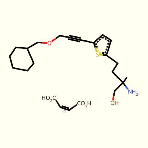 CC(N)(CO)CCc1ccc(C#CCOCC2CCCCC2)s1.O=C(O)/C=C\C(=O)O